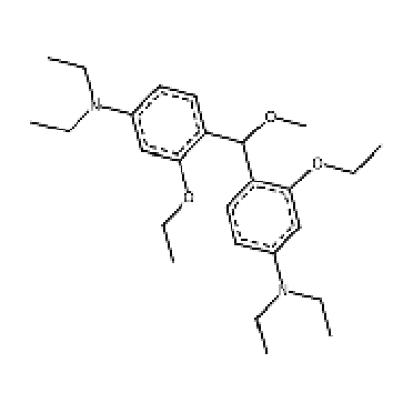 CCOc1cc(N(CC)CC)ccc1C(OC)c1ccc(N(CC)CC)cc1OCC